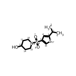 CC(C)c1cc(S(=O)(=O)N2CCC(O)CC2)cs1